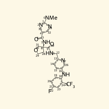 CNc1ncc(C(=O)N[C@@]2(C(=O)NCc3ccc(Nc4ccc(F)cc4C(F)(F)F)cn3)CCOC2)cn1